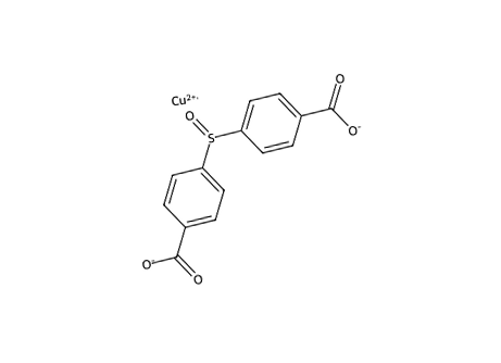 O=C([O-])c1ccc(S(=O)c2ccc(C(=O)[O-])cc2)cc1.[Cu+2]